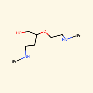 CC(C)NCCOC(CO)CCNC(C)C